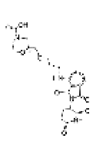 O=C1CCC(N2C(=O)c3cccc(NCCCOC[C@@H]4CN(C(=O)O)CCO4)c3C2=O)C(=O)N1